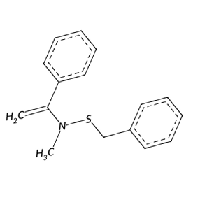 C=C(c1ccccc1)N(C)SCc1ccccc1